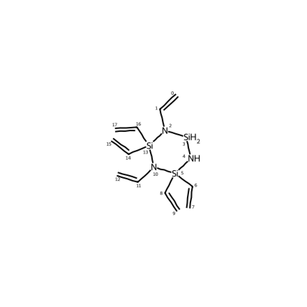 C=CN1[SiH2]N[Si](C=C)(C=C)N(C=C)[Si]1(C=C)C=C